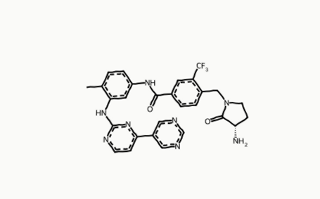 Cc1ccc(NC(=O)c2ccc(CN3CC[C@H](N)C3=O)c(C(F)(F)F)c2)cc1Nc1nccc(-c2cncnc2)n1